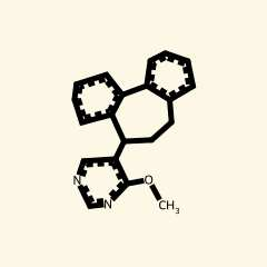 COc1ncncc1C1CCc2ccccc2-c2ccccc21